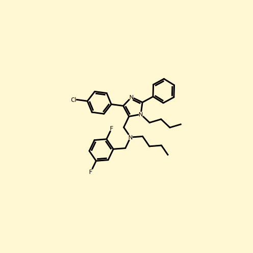 CCCCN(Cc1cc(F)ccc1F)Cc1c(-c2ccc(Cl)cc2)nc(-c2ccccc2)n1CCCC